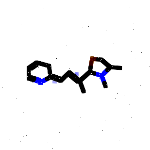 C/C(=C\C=C1/CC=CC=N1)C1SCC(C)N1C